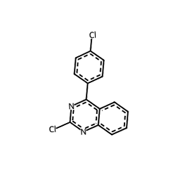 Clc1ccc(-c2nc(Cl)nc3ccccc23)cc1